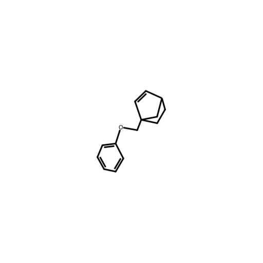 C1=CC2(COc3ccccc3)CCC1C2